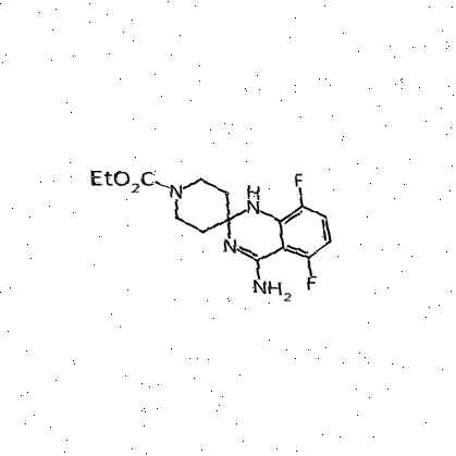 CCOC(=O)N1CCC2(CC1)N=C(N)c1c(F)ccc(F)c1N2